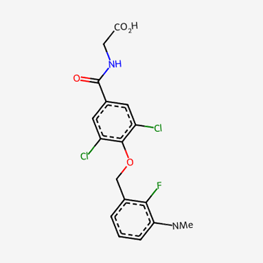 CNc1cccc(COc2c(Cl)cc(C(=O)NCC(=O)O)cc2Cl)c1F